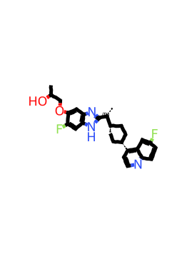 CC(O)COc1cc2nc([C@H](C)[C@H]3CC[C@@H](c4ccnc5ccc(F)cc54)CC3)[nH]c2cc1F